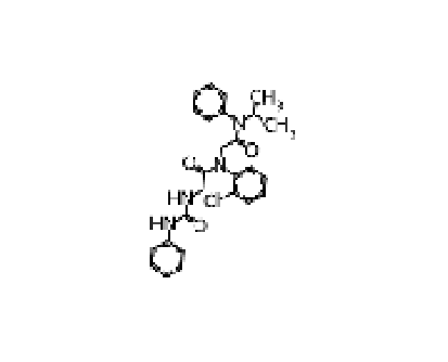 CC(C)N(C(=O)CN(C(=O)CNC(=O)Nc1ccccc1)c1ccccc1Cl)c1ccccc1